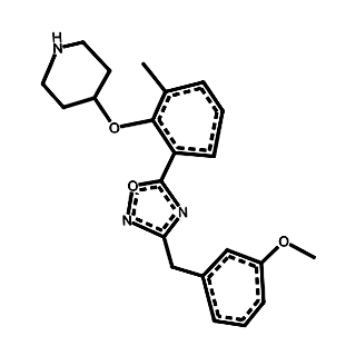 COc1cccc(Cc2noc(-c3cccc(C)c3OC3CCNCC3)n2)c1